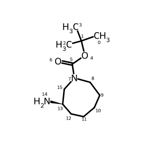 CC(C)(C)OC(=O)N1CCCCC[C@@H](N)C1